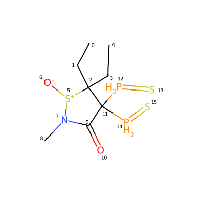 CCC1(CC)[S+]([O-])N(C)C(=O)C1([PH2]=S)[PH2]=S